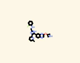 Cc1cccc(-c2nc(CNc3ccccc3F)[nH]c2-c2ccc3ncc(OC4CNC4)nc3c2)n1